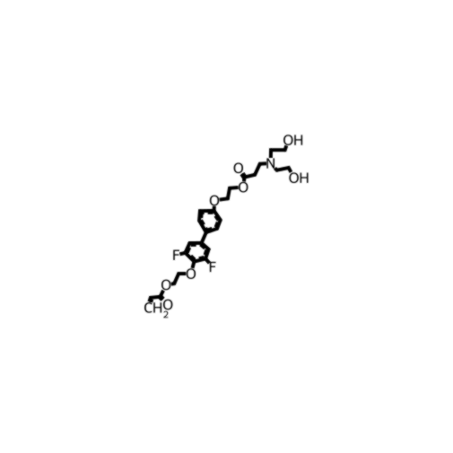 C=CC(=O)OCCOc1c(F)cc(-c2ccc(OCCOC(=O)CCN(CCO)CCO)cc2)cc1F